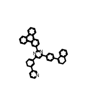 C1=C(c2cccnc2)CCC=C1c1cc(-c2ccc(C3=CCCc4ccccc43)cc2)nc(-c2ccc3c4ccccc4c4ccccc4c3c2)n1